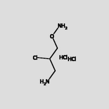 Cl.Cl.NCC(Cl)CON